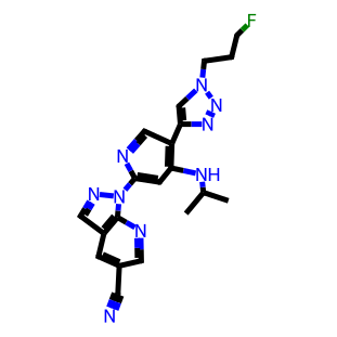 CC(C)Nc1cc(-n2ncc3cc(C#N)cnc32)ncc1-c1cn(CCCF)nn1